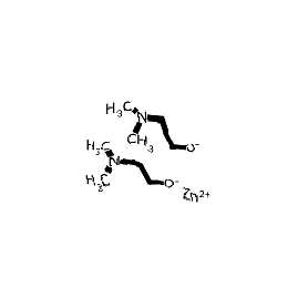 CN(C)CC[O-].CN(C)CC[O-].[Zn+2]